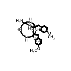 COc1ccc(C=C2CNCC3(N)CNCCNCC(N)(CNCCNC3)C(=Cc3ccc(OC)cc3)N2)cc1